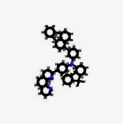 CC1(C)c2ccccc2-c2c(N(c3ccc(-c4ccc5ccc6cccnc6c5n4)cc3)c3cccc(-c4ccc5c6c(cccc46)-c4ccccc4-5)c3)cccc21